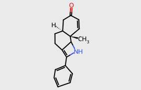 C[C@]12C=CC(=O)C[C@@H]1CCC1=C(c3ccccc3)NC12